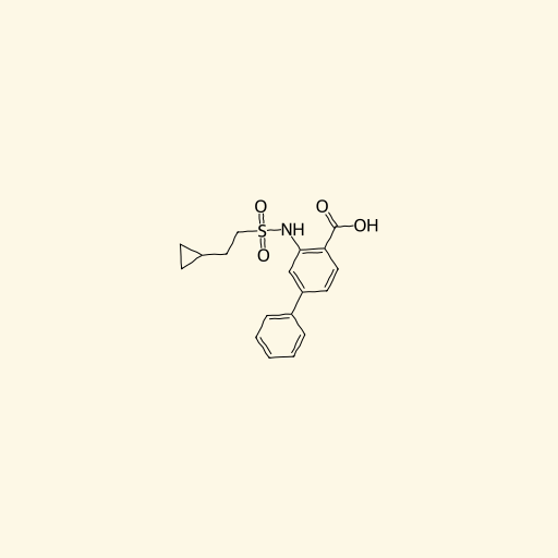 O=C(O)c1ccc(-c2ccccc2)cc1NS(=O)(=O)CCC1CC1